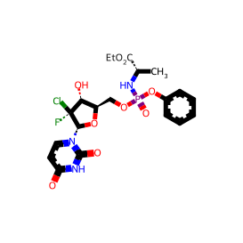 CCOC(=O)[C@H](C)NP(=O)(OC[C@H]1O[C@H](n2ccc(=O)[nH]c2=O)[C@@](F)(Cl)[C@@H]1O)Oc1ccccc1